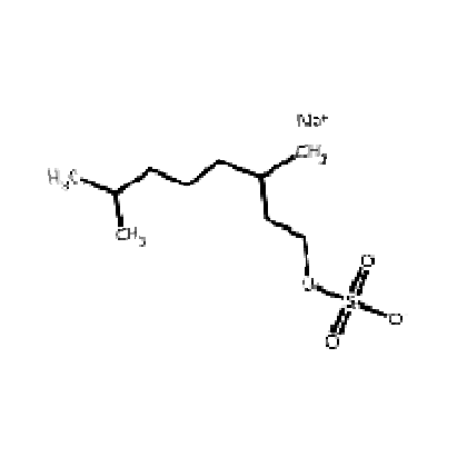 CC(C)CCCC(C)CCOS(=O)(=O)[O-].[Na+]